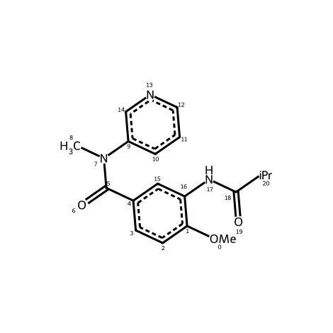 COc1ccc(C(=O)N(C)c2cccnc2)cc1NC(=O)C(C)C